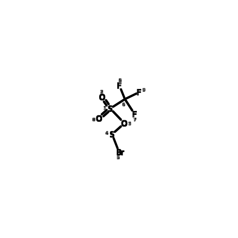 O=S(=O)(OSBr)C(F)(F)F